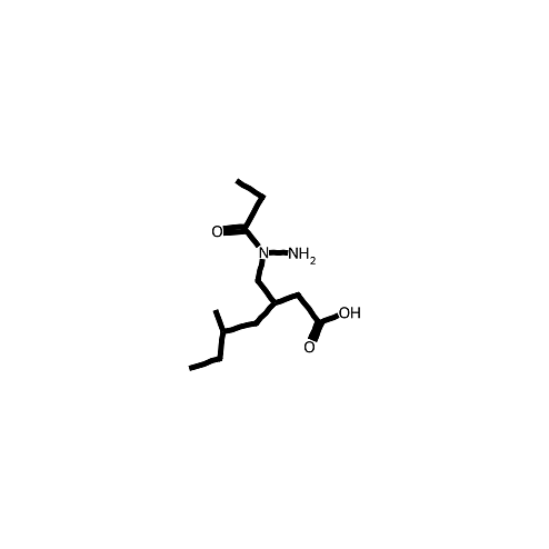 CCC(=O)N(N)CC(CC(=O)O)CC(C)CC